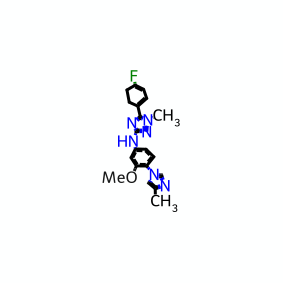 COc1cc(Nc2nc(C3=CC=C(F)CC3)n(C)n2)ccc1-n1cnc(C)c1